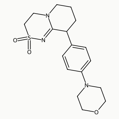 O=S1(=O)CCN2CCCC(c3ccc(N4CCOCC4)cc3)C2=N1